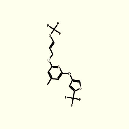 Cc1cc(OCC=CSC(F)(F)F)nc(Oc2csc(C(F)(F)F)c2)c1